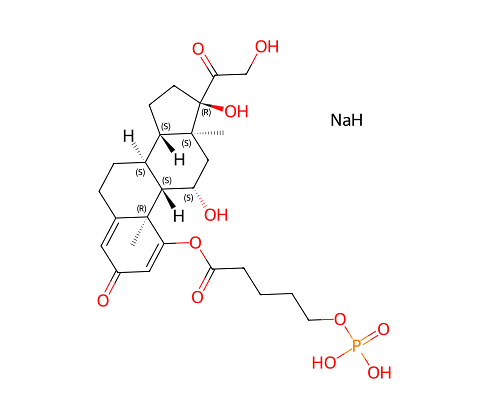 C[C@@]12C(=CC(=O)C=C1OC(=O)CCCCOP(=O)(O)O)CC[C@@H]1[C@@H]2[C@@H](O)C[C@@]2(C)[C@H]1CC[C@]2(O)C(=O)CO.[NaH]